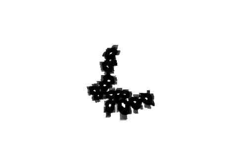 c1ccc(-c2ccc(-c3cccc(N(c4ccccc4-c4cccc(N(c5ccc6cc(-c7ccc8c(c7)sc7ccccc78)ccc6c5)c5cccc6ccccc56)c4)c4cccc5ccccc45)c3)cc2)cc1